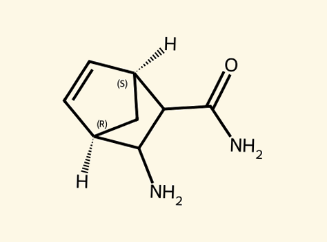 NC(=O)C1C(N)[C@H]2C=C[C@@H]1C2